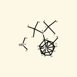 CC(C)(C)P(C(C)(C)C)[C]12[CH]3[CH]4[CH]5[C]1(C)[Fe]45321678[CH]2[CH]1[CH]6[CH]7[CH]28.CNC